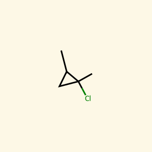 C[C]1CC1(C)Cl